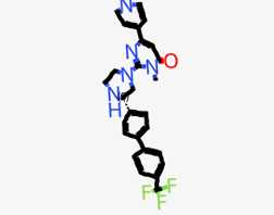 Cn1c(N2CCN[C@@H](c3ccc(-c4ccc(C(F)(F)F)cc4)cc3)C2)nc(-c2ccncc2)cc1=O